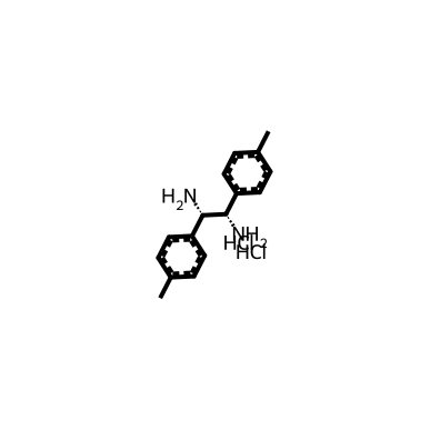 Cc1ccc([C@H](N)[C@@H](N)c2ccc(C)cc2)cc1.Cl.Cl